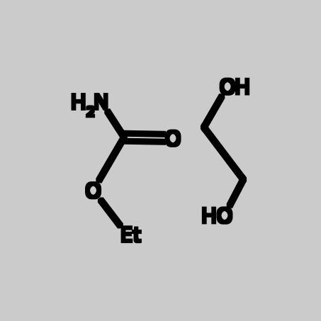 CCOC(N)=O.OCCO